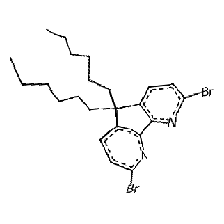 CCCCCCC1(CCCCCC)c2ccc(Br)nc2-c2nc(Br)ccc21